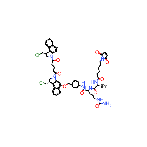 CC(C)[C@H](NC(=O)CCCCCN1C(=O)C=CC1=O)C(=O)N[C@@H](CCCNC(N)=O)C(=O)Nc1ccc(COc2cc3c(c4ccccc24)[C@H](CCl)CN3C(=O)CCCC(=O)N2C[C@@H](CCl)c3c2c[c]c2ccccc32)cc1